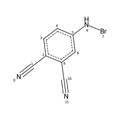 N#Cc1ccc(NBr)cc1C#N